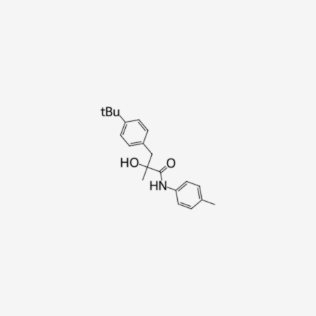 Cc1ccc(NC(=O)C(C)(O)Cc2ccc(C(C)(C)C)cc2)cc1